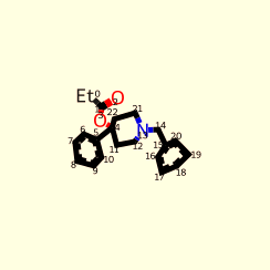 CCC(=O)OC1(c2ccccc2)CCN(Cc2ccccc2)CC1